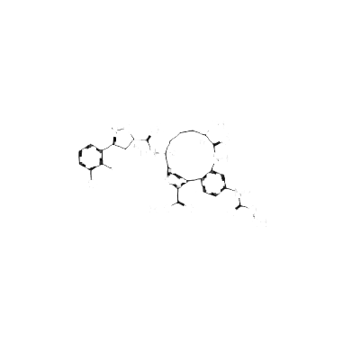 COC(=O)Nc1ccc2c(c1)NC(=O)[C@H](C)CCC[C@H](NC(=O)[C@H]1CC(c3cccc(Cl)c3F)=NO1)c1cc-2c(C(C)=O)s1